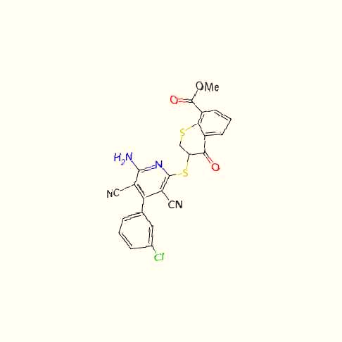 COC(=O)c1cccc2c1SCC(Sc1nc(N)c(C#N)c(-c3cccc(Cl)c3)c1C#N)C2=O